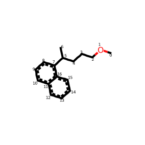 COCCCC(C)c1cccc2ccccc12